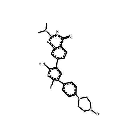 CC(C)N1CCN(c2ccc(-c3cc(-c4ccc5c(=O)[nH]c(N(C)C)nc5c4)c(N)nc3F)cc2)CC1